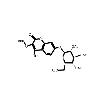 CCCCOc1c(O)c2ccc(O[C@@H]3O[C@H](COC(C)=O)[C@@H](OC(C)=O)[C@H](OC(C)=O)[C@H]3OC(C)=O)cc2oc1=O